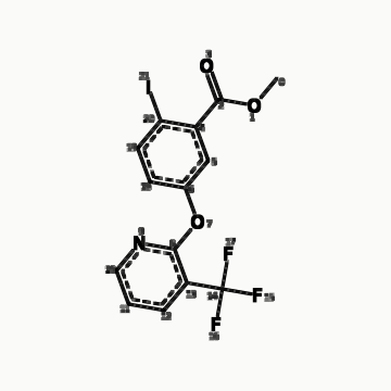 COC(=O)c1cc(Oc2ncccc2C(F)(F)F)ccc1I